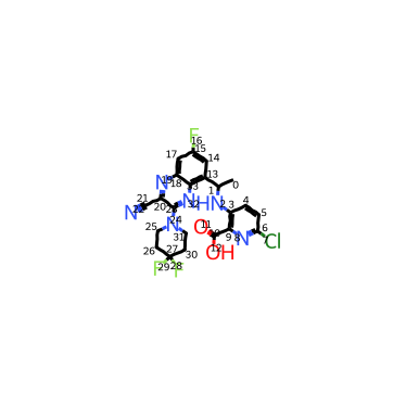 CC(Nc1ccc(Cl)nc1C(=O)O)c1cc(F)cc2nc(C#N)c(N3CCC(F)(F)CC3)nc12